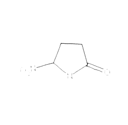 O=C1CCC([N+](=O)[O-])[N]1